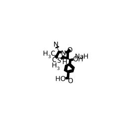 CC1(C)S[C@@H]2[C@H](C(O)c3ccc(C(=O)O)cc3)C(=O)N2[C@H]1C#N.[NaH]